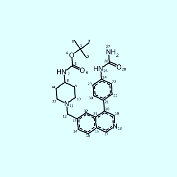 CC(C)(C)OC(=O)NC1CCN(Cc2ccc3cncc(-c4ccc(NC(N)=O)cc4)c3c2)CC1